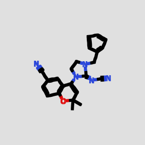 CC1(C)C=C(N2CCN(Cc3ccccc3)/C2=N\C#N)c2cc(C#N)ccc2O1